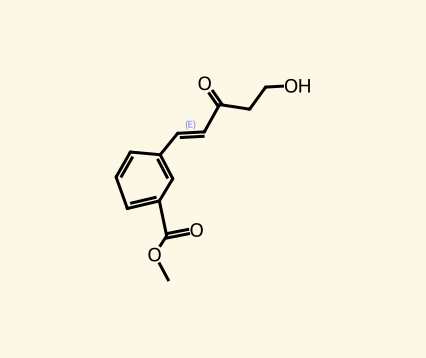 COC(=O)c1cccc(/C=C/C(=O)CCO)c1